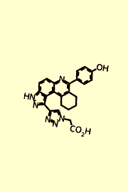 O=C(O)Cn1cc(-c2n[nH]c3ccc4nc(-c5ccc(O)cc5)c5c(c4c23)CCCC5)nn1